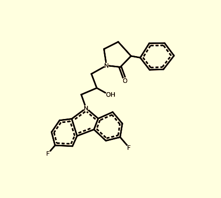 O=C1C(c2ccccc2)CCN1CC(O)Cn1c2ccc(F)cc2c2cc(F)ccc21